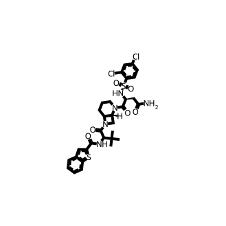 CC(C)(C)C(NC(=O)c1cc2ccccc2s1)C(=O)N1C[C@@H]2C1CCCN2C(=O)[C@H](CC(N)=O)NS(=O)(=O)c1ccc(Cl)cc1Cl